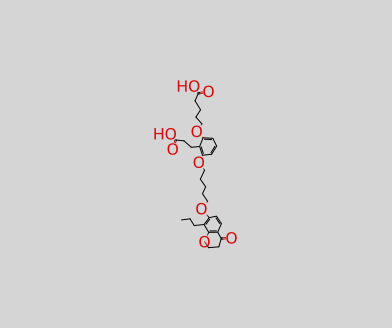 CCCc1c(OCCCCCOc2cccc(OCCCCC(=O)O)c2CCC(=O)O)ccc2c1OCCC2=O